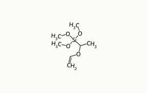 C=COC(C)[Si](OC)(OC)OC